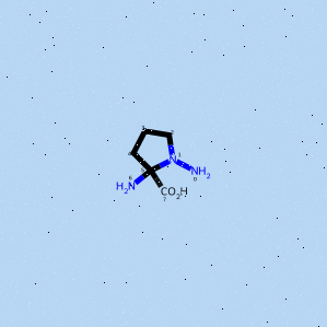 NN1CCCC1(N)C(=O)O